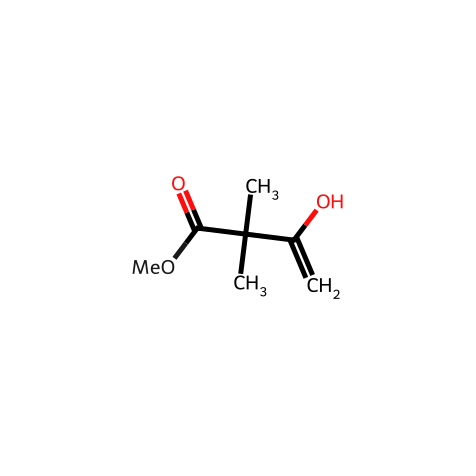 C=C(O)C(C)(C)C(=O)OC